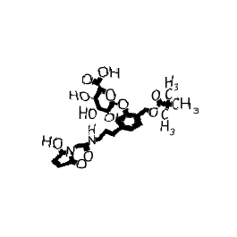 CC(C)(C)C(=O)OCc1ccc(CCCNC(=O)CN2C(=O)C=CC2O)cc1O[C@@H]1O[C@H](C(=O)O)[C@@H](O)[C@H](O)[C@H]1O